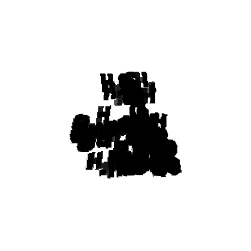 CC(C)CC(N[C@@H](CCC(N)=O)C(=O)O)C(=O)NC(COC(c1ccccc1)(c1ccccc1)c1ccccc1)C(=O)NCC(=O)NC(CCCCNC(=O)OC(C)(C)C)C(=O)Nc1ccc(COC(=O)NCCN2C(=O)C=CC2=O)cc1